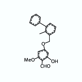 COc1cc(OCc2cccc(-c3ccccc3)c2C)cc(O)c1C=O